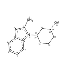 Nc1nc2ccccc2n1[C@H]1CCC[C@@H](O)C1